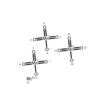 [O]=[Mn](=[O])(=[O])[O-].[O]=[Mn](=[O])(=[O])[O-].[O]=[Mn](=[O])(=[O])[O-].[Rh+3]